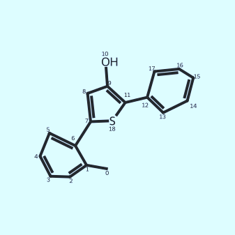 Cc1ccccc1-c1cc(O)c(-c2ccccc2)s1